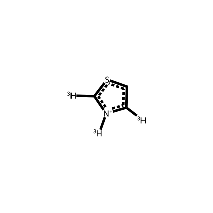 [3H]c1csc([3H])[n+]1[3H]